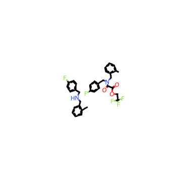 Cc1ccccc1CN(Cc1ccc(F)cc1)C(=O)C(=O)OCC(F)(F)F.Cc1ccccc1CNCc1ccc(F)cc1